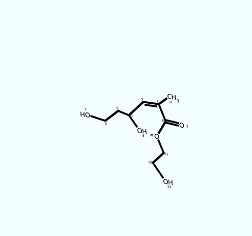 CC(=CC(O)CCO)C(=O)OCCO